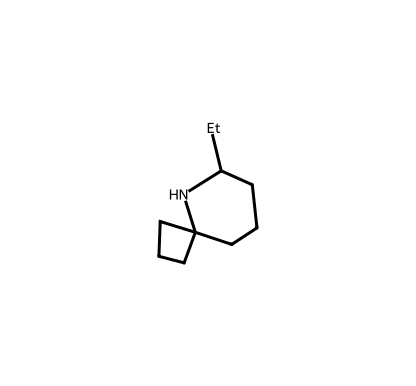 CCC1CCCC2(CCC2)N1